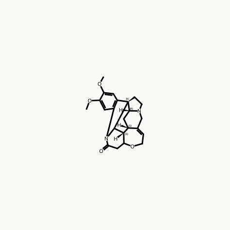 COc1cc2c(cc1OC)[C@@]13CCN4CC5=CCOC6CC(=O)N2C1[C@@H]6[C@@H]5C[C@@H]43